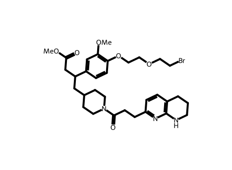 COC(=O)CC(CC1CCN(C(=O)CCc2ccc3c(n2)NCCC3)CC1)c1ccc(OCCOCCBr)c(OC)c1